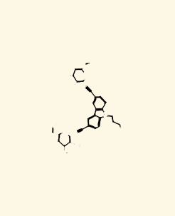 OCCCn1c2ccc(C#C[C@H]3O[C@H](CO)[C@@H](O)[C@H](O)[C@@H]3O)cc2c2cc(C#C[C@H]3O[C@H](CO)[C@@H](O)[C@H](O)[C@@H]3O)ccc21